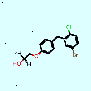 [2H]C([2H])(O)COc1ccc(Cc2cc(Br)ccc2Cl)cc1